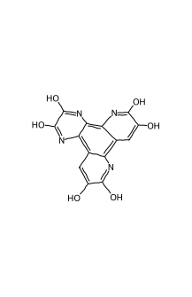 Oc1cc2c(nc1O)c1cc(O)c(O)nc1c1nc(O)c(O)nc21